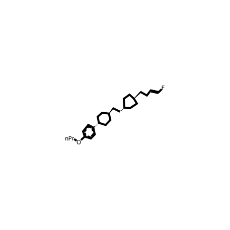 CCCOc1ccc([C@H]2CC[C@H](CC[C@H]3CC[C@H](CC/C=C/F)CC3)CC2)cc1